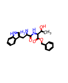 CC(O)C(NC(=O)C(N)Cc1c[nH]c2ccccc12)C(=O)OCc1ccccc1